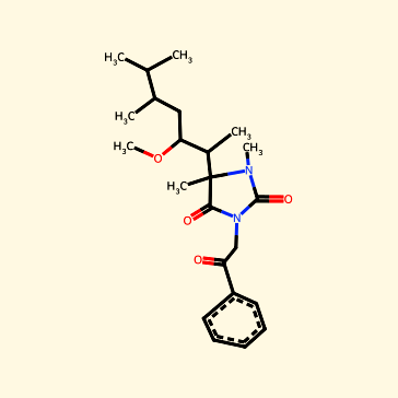 COC(CC(C)C(C)C)C(C)C1(C)C(=O)N(CC(=O)c2ccccc2)C(=O)N1C